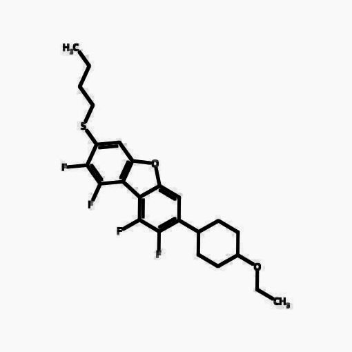 CCCCSc1cc2oc3cc(C4CCC(OCC)CC4)c(F)c(F)c3c2c(F)c1F